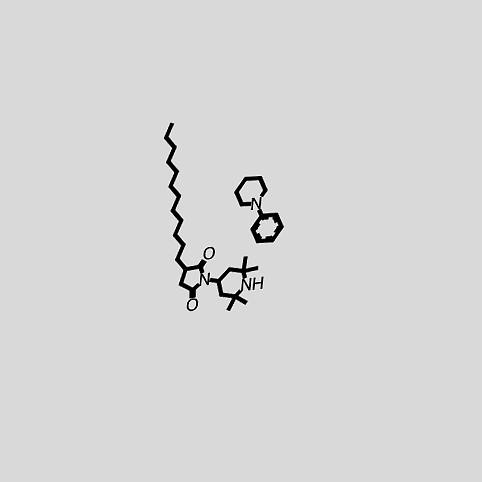 CCCCCCCCCCCCC1CC(=O)N(C2CC(C)(C)NC(C)(C)C2)C1=O.c1ccc(N2CCCCC2)cc1